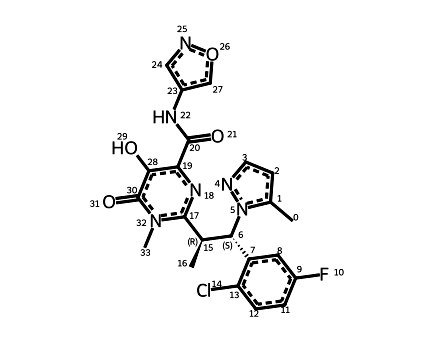 Cc1ccnn1[C@H](c1cc(F)ccc1Cl)[C@@H](C)c1nc(C(=O)Nc2cnoc2)c(O)c(=O)n1C